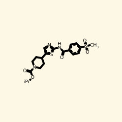 CC(C)OC(=O)N1CCC(c2cnc(NC(=O)c3ccc(S(C)(=O)=O)cc3)s2)CC1